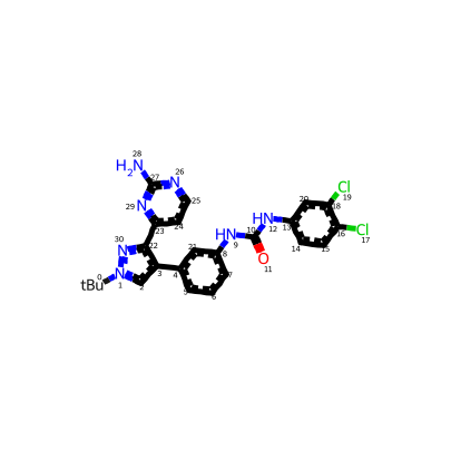 CC(C)(C)n1cc(-c2cccc(NC(=O)Nc3ccc(Cl)c(Cl)c3)c2)c(-c2ccnc(N)n2)n1